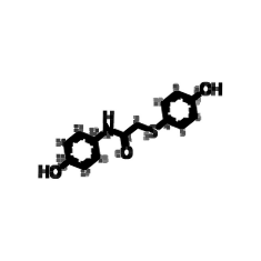 O=C(CSc1ccc(O)cc1)Nc1ccc(O)cc1